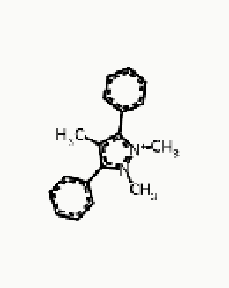 Cc1c(-c2ccccc2)n(C)[n+](C)c1-c1ccccc1